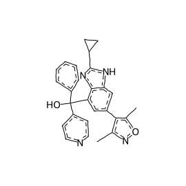 Cc1noc(C)c1-c1cc(C(O)(c2ccccc2)c2ccncc2)c2nc(C3CC3)[nH]c2c1